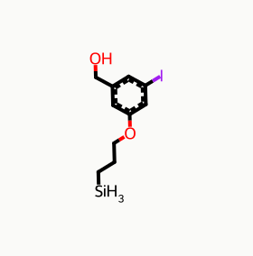 OCc1cc(I)cc(OCCC[SiH3])c1